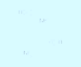 NCC(NC(=O)O)C(=O)O